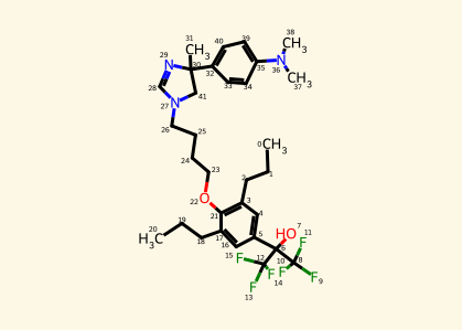 CCCc1cc(C(O)(C(F)(F)F)C(F)(F)F)cc(CCC)c1OCCCCN1C=NC(C)(c2ccc(N(C)C)cc2)C1